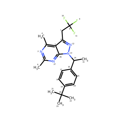 Cc1nc(C)c2c(CC(F)(F)F)nn(C(C)c3ccc(C(C)(C)C)cc3)c2n1